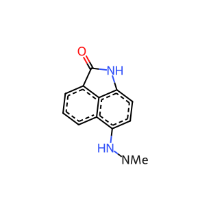 CNNc1ccc2c3c(cccc13)C(=O)N2